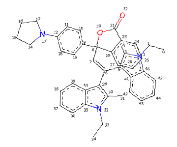 CCn1c(C)c(C(=CC2(c3ccc(N4CCCC4)cc3)OC(=O)c3ccccc32)c2c(C)n(CC)c3ccccc23)c2ccccc21